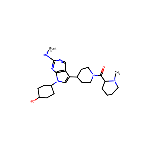 CCC[C@H](C)Nc1ncc2c(C3CCN(C(=O)C4CCCCN4C)CC3)cn(C3CCC(O)CC3)c2n1